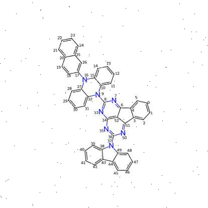 c1ccc2c(c1)-c1nc(N3c4ccccc4N(c4ccc5ccccc5c4)c4ccccc43)nc3nc(-n4c5ccccc5c5ccccc54)nc-2c13